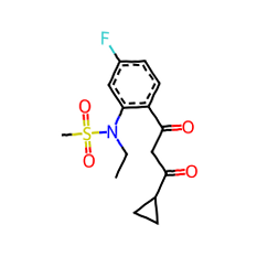 CCN(c1cc(F)ccc1C(=O)CC(=O)C1CC1)S(C)(=O)=O